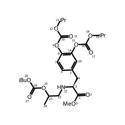 COC(=O)[C@H](Cc1ccc(OC(=O)OC(C)C)c(OC(=O)OC(C)C)c1)NCC(C)OC(=O)OCC(C)C